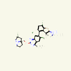 CSc1nc(OC[C@@]23CCCN2C[C@H](F)C3)nc2c(F)c(-c3ccc(F)c4sc(NC(=O)O)c(C#N)c34)c(Cl)cc12